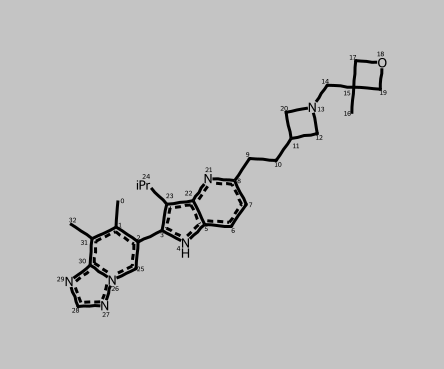 Cc1c(-c2[nH]c3ccc(CCC4CN(CC5(C)COC5)C4)nc3c2C(C)C)cn2ncnc2c1C